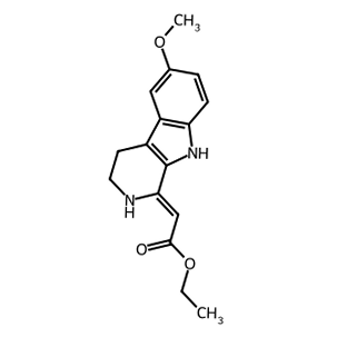 CCOC(=O)/C=C1\NCCc2c1[nH]c1ccc(OC)cc21